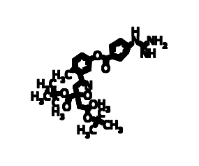 Cc1ccc(OC(=O)c2ccc(NC(=N)N)cc2)cc1C1=NOC(CC(=O)OC(C)(C)C)(C(=O)OC(C)(C)C)C1